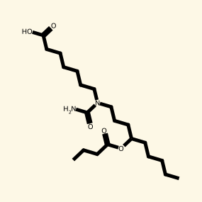 CCCCCC(CCCN(CCCCCCC(=O)O)C(N)=O)OC(=O)CCC